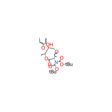 C=C/C(=C\C)O[C@H]1[C@H](C)OC(=O)[C@@H](N(C(=O)OC(C)(C)C)C(=O)OC(C)(C)C)COC[C@@H]1O